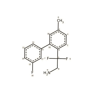 Cc1ccc(C(F)(F)CN)c(-c2cccc(F)c2)c1